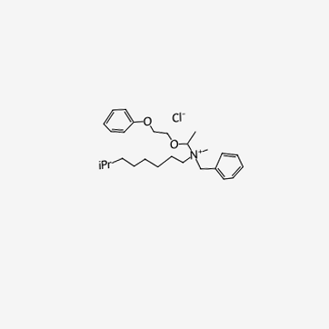 CC(C)CCCCCC[N+](C)(Cc1ccccc1)C(C)OCCOc1ccccc1.[Cl-]